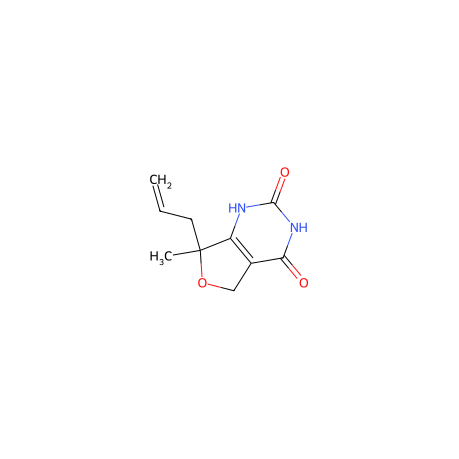 C=CCC1(C)OCc2c1[nH]c(=O)[nH]c2=O